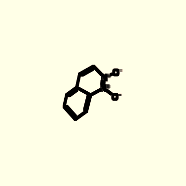 [O-][n+]1ccc2ccccc2[n+]1[O-]